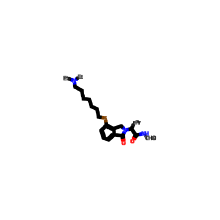 CCCC(C(=O)NC=O)N1Cc2c(SCCCCCCCN(CC)CC)cccc2C1=O